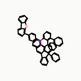 c1ccc(-c2ccccc2-c2c(-c3ccccc3)cccc2N(c2ccc(-c3cccc4c3oc3ccccc34)cc2)c2ccc3c(c2)C(c2ccccc2)(c2ccccc2)c2ccccc2-3)cc1